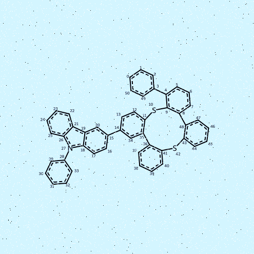 c1ccc(-c2cccc3c2Sc2ccc(-c4ccc5c(c4)c4ccccc4n5-c4ccccc4)cc2-c2ccccc2Sc2ccccc2-3)cc1